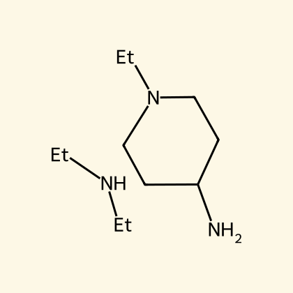 CCN1CCC(N)CC1.CCNCC